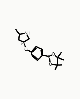 CC1C[C@H](Oc2ccc(B3OC(C)(C)C(C)(C)O3)cc2)CN1